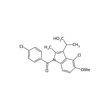 COc1ccc2c(c1Cl)c(C(C)C(=O)O)c(C)n2C(=O)c1ccc(Cl)cc1